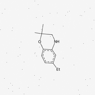 CCc1ccc2c(c1)NCC(C)(C)O2